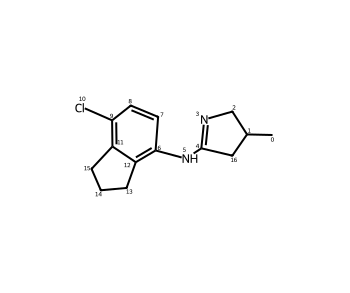 CC1CN=C(Nc2ccc(Cl)c3c2CCC3)C1